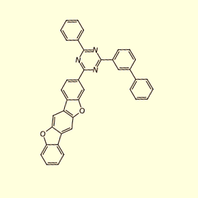 c1ccc(-c2cccc(-c3nc(-c4ccccc4)nc(-c4ccc5c(c4)oc4cc6c(cc45)oc4ccccc46)n3)c2)cc1